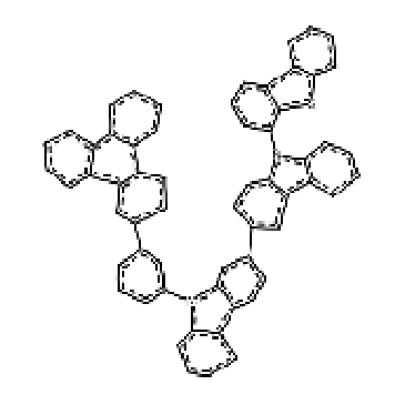 c1cc(-c2ccc3c4ccccc4c4ccccc4c3c2)cc(-n2c3ccccc3c3ccc(-c4ccc5c(c4)c4ccccc4n5-c4cccc5c4sc4ccccc45)cc32)c1